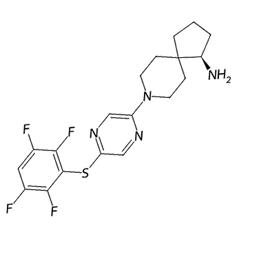 N[C@@H]1CCCC12CCN(c1cnc(Sc3c(F)c(F)cc(F)c3F)cn1)CC2